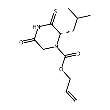 C=CCOC(=O)N1CC(=O)NC(=S)[C@@H]1CC(C)C